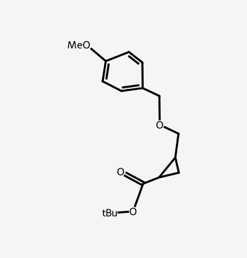 COc1ccc(COCC2CC2C(=O)OC(C)(C)C)cc1